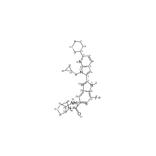 Cn1c(-c2cc3ccc(C4CCCCC4)nc3n2CC2CC2)nc2cc(C(=O)N3CC4CCC3C4N)cc(F)c21